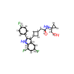 O=C(CC1CC(c2c(-c3ccc(F)cc3)[nH]c3c(F)cc(F)cc23)C1)NC1(CO)CC1